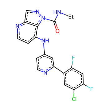 CCNC(=O)n1ncc2nccc(Nc3ccnc(-c4cc(Cl)c(F)cc4F)c3)c21